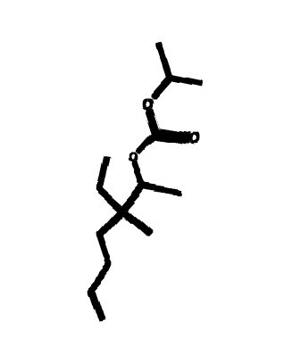 CCCCC(C)(CC)C(C)OC(=O)OC(C)C